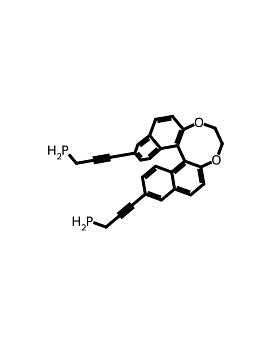 PCC#Cc1ccc2c3c(ccc2c1)OCCOc1ccc2cc(C#CCP)ccc2c1-3